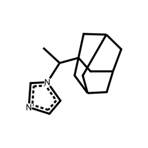 CC(n1ccnc1)C12CC3CC(CC(C3)C1)C2